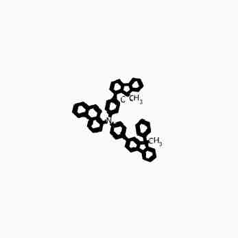 CC1(C)c2ccccc2-c2cccc(-c3ccc(N(c4ccc(-c5ccc6c(c5)C(C)(c5ccccc5)c5ccccc5-6)cc4)c4cccc5c4ccc4ccccc45)cc3)c21